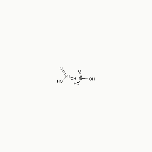 O=[PH](O)O.O=[Si](O)O